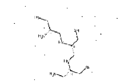 NC[C@@H](CS)NC[C@@H](CS)NC[C@H](N)CS